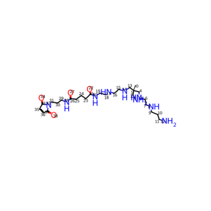 C[C@](CN)(CNCCNCCCN)CNCCNCCNC(=O)CCCC(=O)NCCCN1C(=O)C=CC1=O